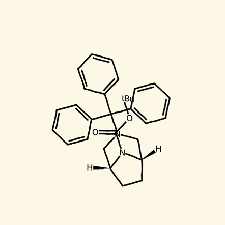 CC(C)(C)OC(=O)N1[C@@H]2CC[C@H]1CN(C(c1ccccc1)(c1ccccc1)c1ccccc1)C2